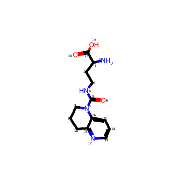 NC(CCNC(=O)N1CCCc2ncccc21)C(=O)O